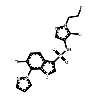 O=S(=O)(Nc1cnn(CCCl)c1Cl)c1c[nH]c2c(-n3cccn3)c(Cl)ccc12